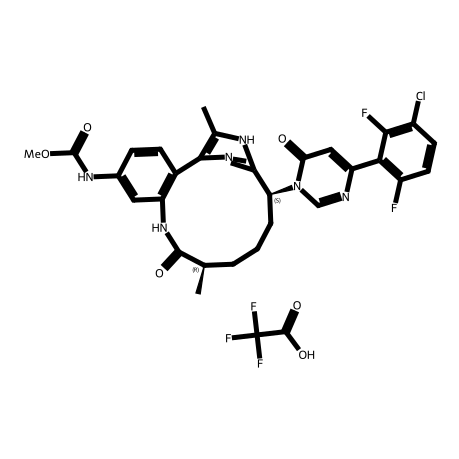 COC(=O)Nc1ccc2c(c1)NC(=O)[C@H](C)CCC[C@H](n1cnc(-c3c(F)ccc(Cl)c3F)cc1=O)c1nc-2c(C)[nH]1.O=C(O)C(F)(F)F